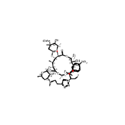 CC[C@H]1OC(=O)[C@H](C)[C@@H](O[C@H]2C[C@@](C)(OC)[C@@H](O)[C@H](C)O2)[C@H](C)[C@@H](O[C@@H]2O[C@H](C)C[C@H](N(C)CCc3cn(C(CF)C(F)c4ccc([N+](=O)[O-])cc4)nn3)[C@H]2O)[C@](C)(O)C[C@@H](C)CN(C)[C@H](C)[C@@H](O)[C@]1(C)O